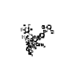 CCOP(=O)(OCC)C(NC(=O)C(Cc1ccc(OCc2c(Cl)cccc2Cl)cc1)NC(=O)/C=C/c1c(F)c(F)c(F)c(F)c1F)P(=O)(OCC)OCC